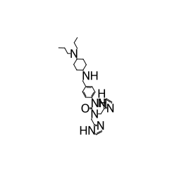 CCCN(CCC)[C@H]1CC[C@H](NCc2ccc(NC(=O)N(Cc3ncc[nH]3)Cc3ncc[nH]3)cc2)CC1